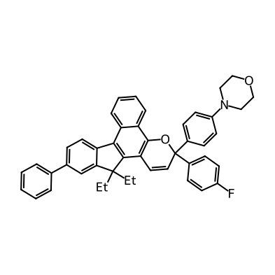 CCC1(CC)c2cc(-c3ccccc3)ccc2-c2c1c1c(c3ccccc23)OC(c2ccc(F)cc2)(c2ccc(N3CCOCC3)cc2)C=C1